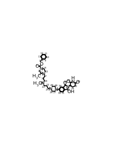 C[C@H]1CN(C(=O)OCc2ccccc2)CCN1CCCN(C)CCCN1CCN(c2ccc3c(c2)C(=O)N(C2CCC(=O)NC2=O)C3O)CC1